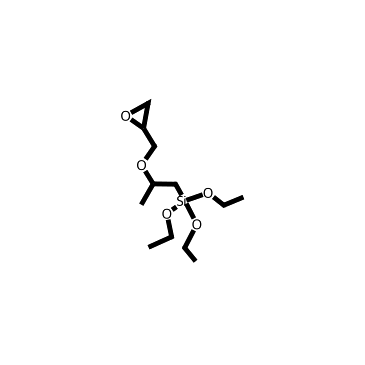 CCO[Si](CC(C)OCC1CO1)(OCC)OCC